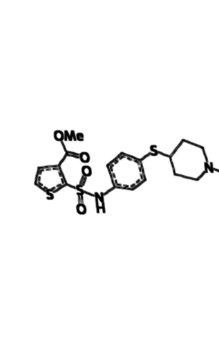 COC(=O)c1ccsc1S(=O)(=O)Nc1ccc(SC2CCN(C)CC2)cc1